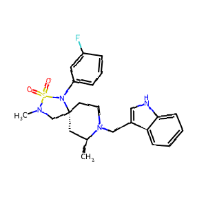 C[C@H]1C[C@]2(CCN1Cc1c[nH]c3ccccc13)CN(C)S(=O)(=O)N2c1cccc(F)c1